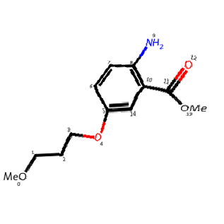 COCCCOc1ccc(N)c(C(=O)OC)c1